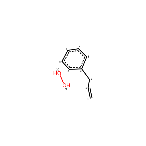 C=CCc1ccccc1.OO